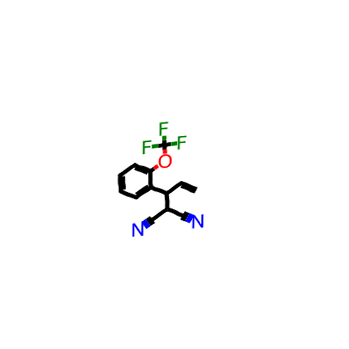 C=CC(c1ccccc1OC(F)(F)F)C(C#N)C#N